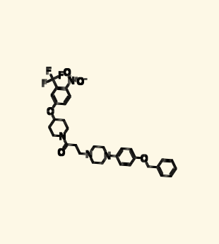 O=C(CCN1CCN(c2ccc(OCc3ccccc3)cc2)CC1)N1CCC(Oc2ccc([N+](=O)[O-])c(C(F)(F)F)c2)CC1